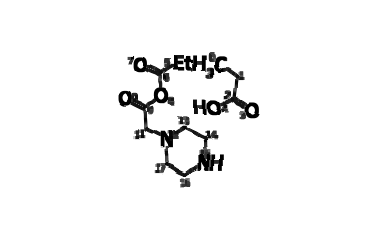 CCC(=O)O.CCC(=O)OC(=O)CN1CCNCC1